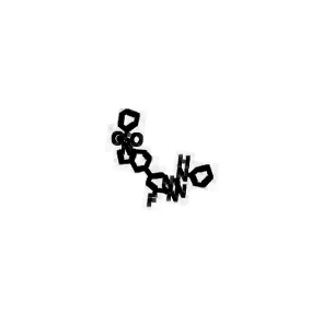 O=S(=O)(c1ccccc1)n1ccc2cc(-c3cc(F)c4nnc(Nc5ccccc5)n4c3)ccc21